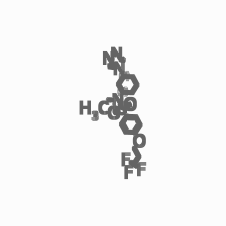 CCN([C@H]1CCC[C@@H](n2cnnc2)C1)S(=O)(=O)c1ccc(OCCC(F)(F)F)cc1